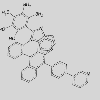 Bc1c(B)c(O)c(O)c(-c2nc3ccccc3n2-c2ccccc2-c2c3ccccc3c(-c3ccc(-c4cccnc4)cc3)c3ccccc23)c1B